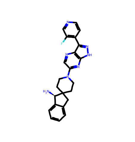 N[C@@H]1c2ccccc2CC12CCN(c1cnc3c(-c4ccncc4F)n[nH]c3n1)CC2